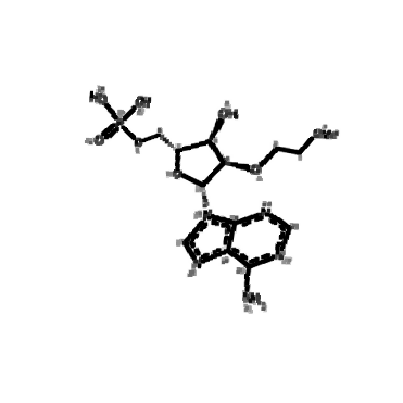 COCCO[C@@H]1[C@H](O)[C@@H](COP(=O)(O)O)O[C@H]1n1cnc2c(N)ncnc21